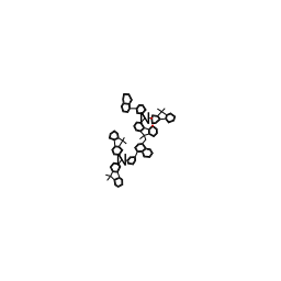 CC1(C)c2ccccc2-c2cc(N(c3cccc(-c4ccc(CC5(C)c6ccccc6-c6c(N(c7cccc(-c8cccc9ccccc89)c7)c7ccc8c(c7)C(C)(C)c7ccccc7-8)cccc65)c5ccccc45)c3)c3ccc4c(c3)C(C)(C)c3ccccc3-4)ccc21